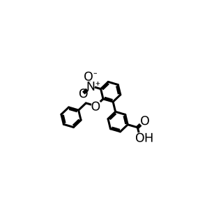 O=C(O)c1cccc(-c2cccc([N+](=O)[O-])c2OCc2ccccc2)c1